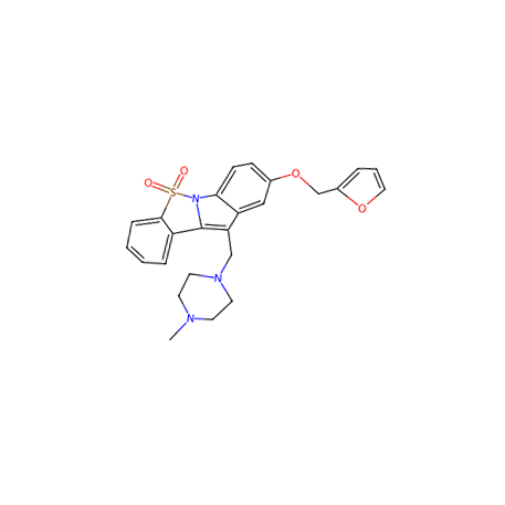 CN1CCN(Cc2c3n(c4ccc(OCc5ccco5)cc24)S(=O)(=O)c2ccccc2-3)CC1